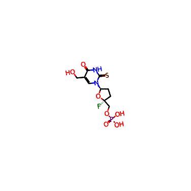 O=c1[nH]c(=S)n([C@H]2CC[C@@](F)(COP(=O)(O)O)O2)cc1CO